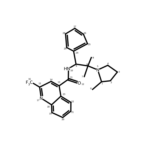 CC1CCCN1C(C)(C)C(NC(=O)c1cc(C(F)(F)F)nc2ccccc12)c1ccccc1